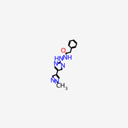 Cn1cc(-c2cnc(NNC(=O)Cc3ccccc3)nc2)cn1